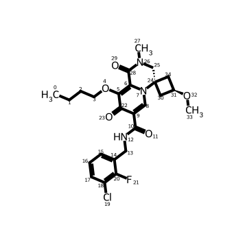 CCCCOc1c2n(cc(C(=O)NCc3cccc(Cl)c3F)c1=O)[C@]1(CN(C)C2=O)C[C@H](OC)C1